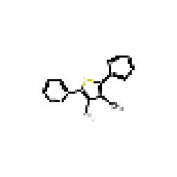 Cc1c(-c2ccccc2)sc(-c2ccccc2)c1C